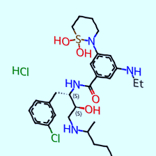 CCNc1cc(C(=O)N[C@@H](Cc2cccc(Cl)c2)[C@@H](O)CNC(C)CCCC(C)C)cc(N2CCCCS2(O)O)c1.Cl